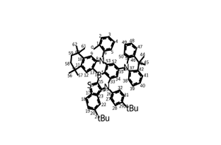 Cc1ccccc1N1c2cc3c(cc2B2c4sc5ccc(C(C)(C)C)cc5c4N(c4ccc(C(C)(C)C)cc4)c4cc(N5c6ccccc6C(C)(C)c6ccccc65)cc1c42)C(C)(C)CCC3(C)C